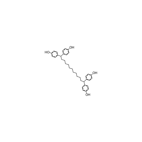 Oc1ccc(C(CCCCCCCCCCCC(c2ccc(O)cc2)c2ccc(O)cc2)c2ccc(O)cc2)cc1